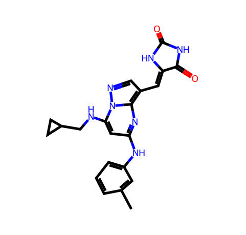 Cc1cccc(Nc2cc(NCC3CC3)n3ncc(/C=C4\NC(=O)NC4=O)c3n2)c1